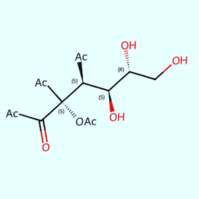 CC(=O)O[C@@](C(C)=O)(C(=O)C(C)=O)[C@@H](C(C)=O)[C@H](O)[C@H](O)CO